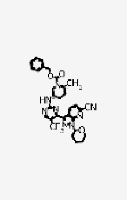 C[C@H]1CC[C@H](Nc2ncc(C(F)(F)F)c(-c3nn(C4CCCCO4)c4nc(C#N)ccc34)n2)CN1C(=O)OCc1ccccc1